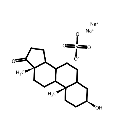 C[C@]12CC[C@H](O)CC1CCC1C2CC[C@]2(C)C(=O)CCC12.O=S(=O)([O-])[O-].[Na+].[Na+]